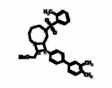 COC[C@@H]1[C@@H](c2ccc(-c3ccc(C)c(C)c3)cc2)C2CN(S(=O)(=O)c3ccccc3C)CCCCN21